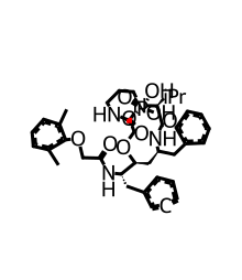 Cc1cccc(C)c1OCC(=O)N[C@@H](Cc1ccccc1)[C@H](C[C@H](Cc1ccccc1)NC(=O)[C@H](C(C)C)N1CCCNC1=O)OCOP(=O)(O)O